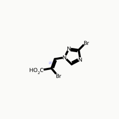 O=C(O)/C(Br)=C/n1cnc(Br)n1